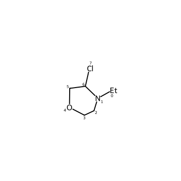 CCN1CCOCC1Cl